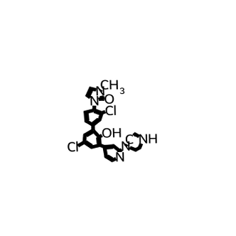 Cn1ccn(-c2ccc(-c3cc(Cl)cc(-c4ccnc(N5CCNCC5)c4)c3O)cc2Cl)c1=O